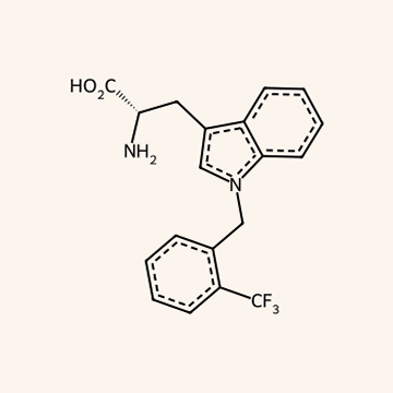 N[C@@H](Cc1cn(Cc2ccccc2C(F)(F)F)c2ccccc12)C(=O)O